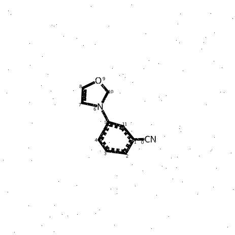 N#Cc1cccc(N2C=COC2)c1